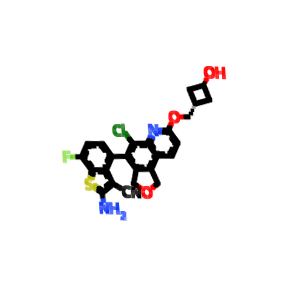 N#Cc1c(N)sc2c(F)ccc(-c3c4c(c5ccc(OC[C@H]6C[C@H](O)C6)nc5c3Cl)COC4)c12